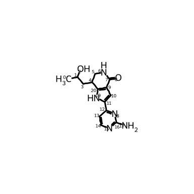 CC(O)CC1CNC(=O)c2cc(-c3ccnc(N)n3)[nH]c21